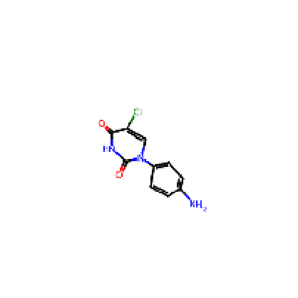 Nc1ccc(-n2cc(Cl)c(=O)[nH]c2=O)cc1